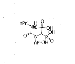 CCCNC(=O)N(CCC)C(P(=O)(O)O)P(=O)(O)O